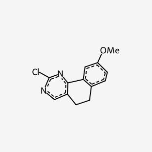 COc1ccc2c(c1)-c1nc(Cl)ncc1CC2